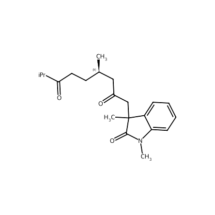 CC(C)C(=O)CC[C@@H](C)CC(=O)CC1(C)C(=O)N(C)c2ccccc21